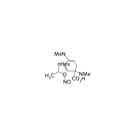 CCCCCCC(C)ON=O.CNC1=CCC(NC)(C(=O)O)C=C1